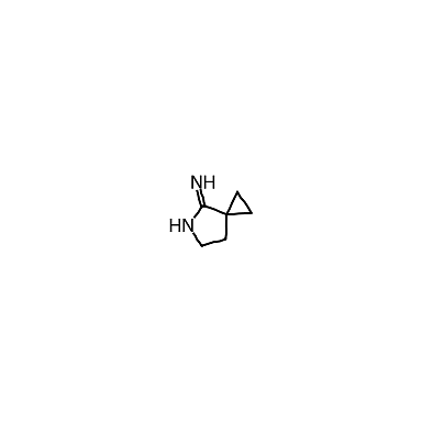 N=C1NCCC12CC2